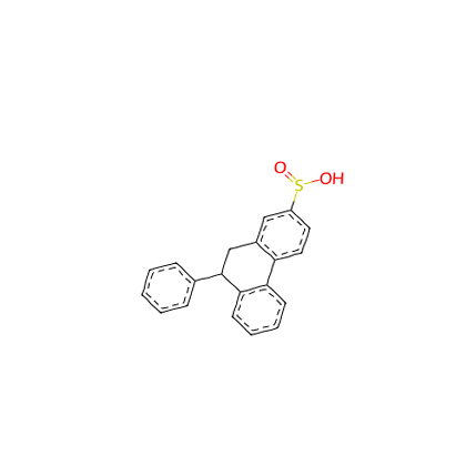 O=S(O)c1ccc2c(c1)CC(c1ccccc1)c1ccccc1-2